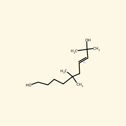 CC(C)(O)/C=C/CC(C)(C)CCCCO